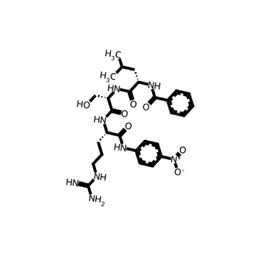 CC(C)C[C@H](NC(=O)c1ccccc1)C(=O)N[C@@H](CO)C(=O)N[C@@H](CCCNC(=N)N)C(=O)Nc1ccc([N+](=O)[O-])cc1